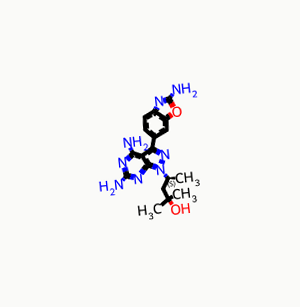 C[C@@H](CC(C)(C)O)n1nc(-c2ccc3nc(N)oc3c2)c2c(N)nc(N)nc21